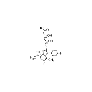 Cc1c(Cl)cc(C(C)C)c2oc(C=C[C@@H](O)C[C@@H](O)CC(=O)O)c(-c3ccc(F)cc3)c12